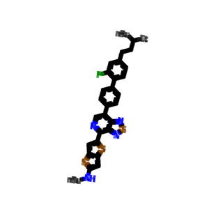 CCCCNc1cc2sc(-c3ncc(-c4ccc(-c5ccc(CCC(CC)CCCC)cc5F)cc4)c4nsnc34)cc2s1